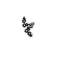 CCCC1=Cc2c(-c3ccc(C(C)(C)C)cc3)cccc2[CH]1[Zr+2][CH]1C(CCC)=Cc2c(-c3ccc(C(C)(C)C)cc3)cccc21.[Cl-].[Cl-]